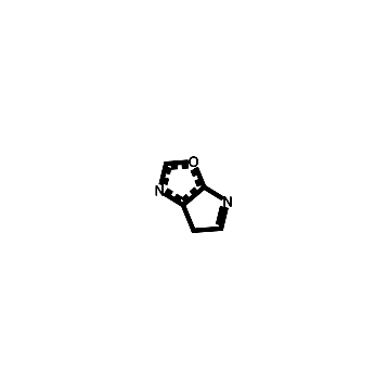 C1=Nc2ocnc2C1